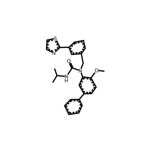 COc1ccc(-c2ccccc2)cc1N(Cc1cccc(-c2nccs2)c1)C(=O)NC(C)C